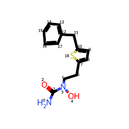 NC(=O)N(O)CCc1ccc(Cc2ccccc2)s1